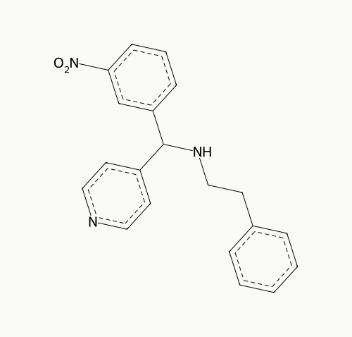 O=[N+]([O-])c1cccc(C(NCCc2ccccc2)c2ccncc2)c1